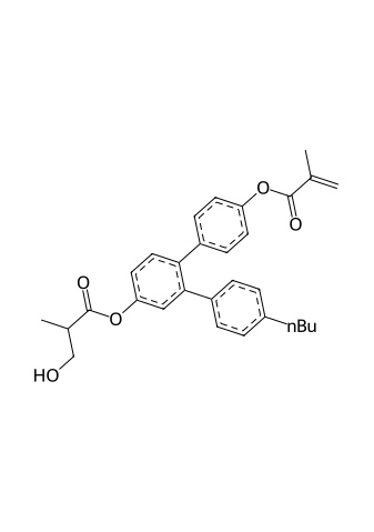 C=C(C)C(=O)Oc1ccc(-c2ccc(OC(=O)C(C)CO)cc2-c2ccc(CCCC)cc2)cc1